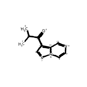 CC(C)C(=O)c1cnn2ccncc12